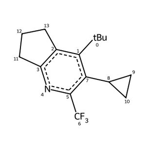 CC(C)(C)c1c2c(nc(C(F)(F)F)c1C1CC1)CCC2